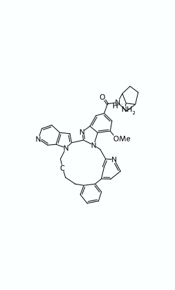 COc1cc(C(=O)N2CC3CCC2[C@@H]3N)cc2nc3n(c12)Cc1cc(ccn1)-c1ccccc1CCCCn1c-3cc2ccncc21